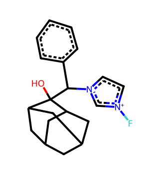 OC1(C(c2ccccc2)n2cc[n+](F)c2)C2CC3CC(C2)CC1C3